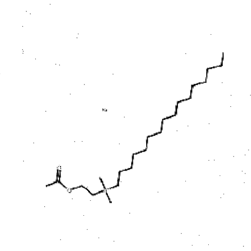 CCCCCCCCCCCCCCCC[N+](C)(C)CCOC(C)=O.[Br-]